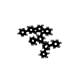 c1ccc(-c2cc(-c3nc(-c4ccccc4)nc(-c4ccccc4)n3)cc(-n3c4ccccc4c4ccc5c6ccc(-c7ccccc7)cc6sc5c43)c2)cc1